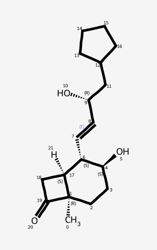 C[C@@]12CC[C@H](O)[C@@H](/C=C/[C@H](O)CC3CCCC3)[C@@H]1CC2=O